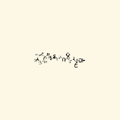 O=C(O)CCC(=O)OCCSSCc1ccccc1